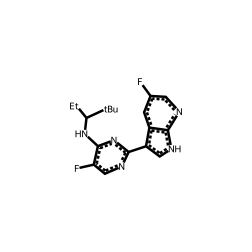 CCC(Nc1nc(-c2c[nH]c3ncc(F)cc23)ncc1F)C(C)(C)C